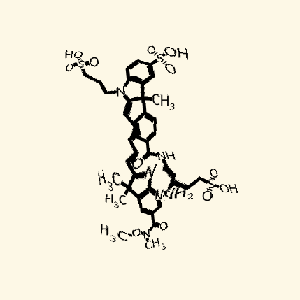 CON(C)C(=O)c1cc2c([n+](CCCS(=O)(=O)O)c1)N=C(/C=C/C=C/C=C1/N(CCCS(=O)(=O)O)c3ccc(S(=O)(=O)O)cc3C1(C)c1ccc(C(=O)NCCN)cc1)C2(C)C